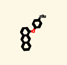 CCCCc1ccc(Oc2cccc3cc4ccccc4cc23)cc1